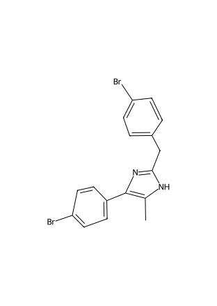 Cc1[nH]c(Cc2ccc(Br)cc2)nc1-c1ccc(Br)cc1